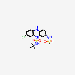 CC(C)(C)NS(=O)(=O)Nc1cc(Cl)ccc1Nc1ccc(NS(C)(=O)=O)cc1